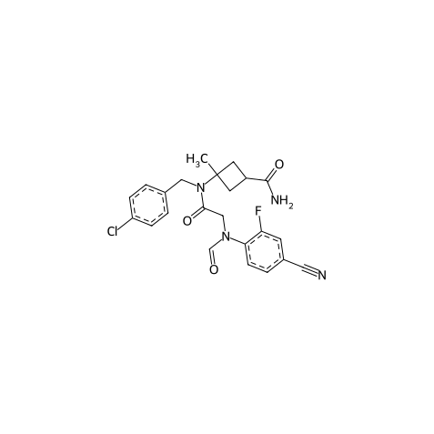 CC1(N(Cc2ccc(Cl)cc2)C(=O)CN(C=O)c2ccc(C#N)cc2F)CC(C(N)=O)C1